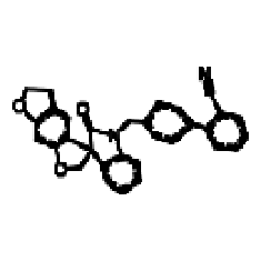 N#Cc1ccccc1-c1ccc(CN2C(=O)C3(COc4cc5c(cc43)CCO5)c3ccccc32)cc1